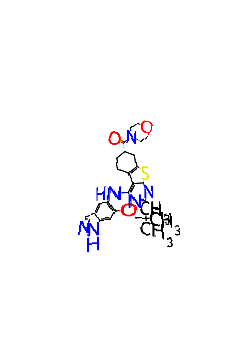 CC(C)(C)COc1cc2[nH]ncc2cc1Nc1ncnc2sc3c(c12)CC[C@H](C(=O)N1CCOCC1)C3